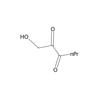 CCCC(=O)C(=O)CO